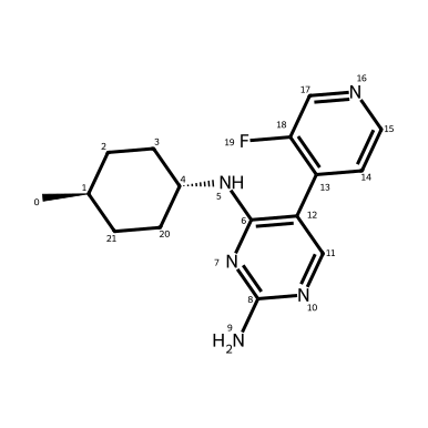 C[C@H]1CC[C@H](Nc2nc(N)ncc2-c2ccncc2F)CC1